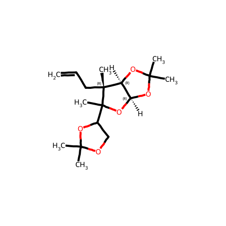 C=CC[C@]1(C)[C@H]2OC(C)(C)O[C@H]2OC1(C)C1COC(C)(C)O1